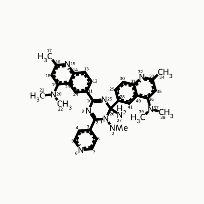 CNN1C(c2ccncc2)=NC(c2ccc3nc(C)cc(N(C)C)c3c2)=NC1(N)c1ccc2nc(C)cc(N(C)C)c2c1